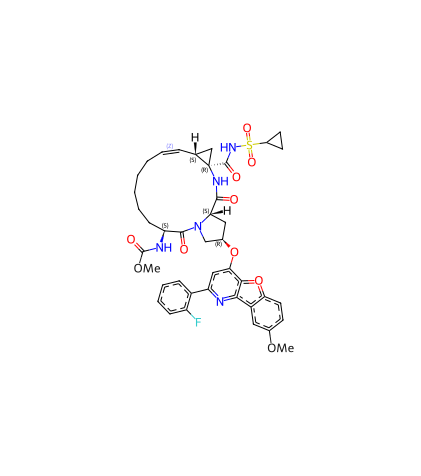 COC(=O)N[C@H]1CCCCC/C=C\[C@@H]2C[C@@]2(C(=O)NS(=O)(=O)C2CC2)NC(=O)[C@@H]2C[C@@H](Oc3cc(-c4ccccc4F)nc4c3oc3ccc(OC)cc34)CN2C1=O